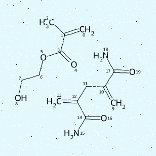 C=C(C)C(=O)OCCO.C=C(CC(=C)C(N)=O)C(N)=O